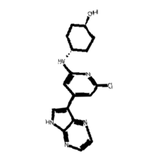 O[C@H]1CC[C@H](Nc2cc(-c3c[nH]c4nccnc34)cc(Cl)n2)CC1